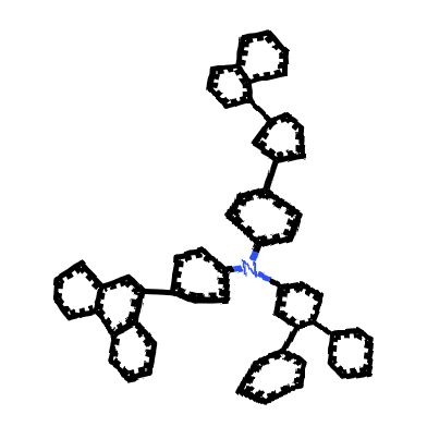 c1ccc(-c2ccc(N(c3ccc(-c4cccc(-c5cccc6ccccc56)c4)cc3)c3ccc(-c4cc5ccccc5c5ccccc45)cc3)cc2-c2ccccc2)cc1